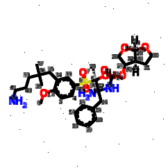 COc1ccc(S(=O)(=O)[C@@](C)(O)[C@](N)(Cc2ccccc2)NC(=O)O[C@H]2CO[C@H]3OCC[C@H]32)cc1CC(C)(C)CCCN